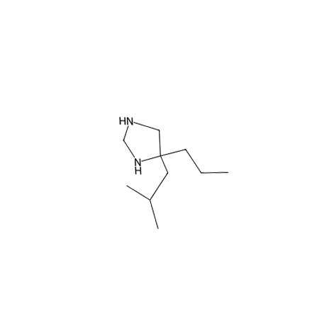 CCCC1(CC(C)C)CNCN1